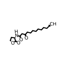 C#CCCCCCCCCC(=O)CC(=O)N[C@H]1CCOC1=O